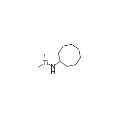 [CH3][Ti]([CH3])[NH]C1CCCCCCC1